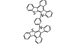 c1cc(-n2c3ccccc3c3c4ccccc4c4c5ccccc5sc4c32)cc(-n2c3ccccc3c3c4ccccc4c4c5ccccc5sc4c32)c1